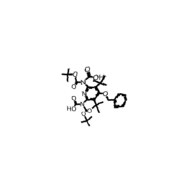 CC(C)(C)OC(=O)N(C(=O)O)c1nc(N(C(=O)O)C(=O)OC(C)(C)C)c(C(C)(C)C)c(OCc2ccccc2)c1C(C)(C)C